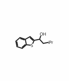 CC(C)CC(O)c1cc2ccccc2s1